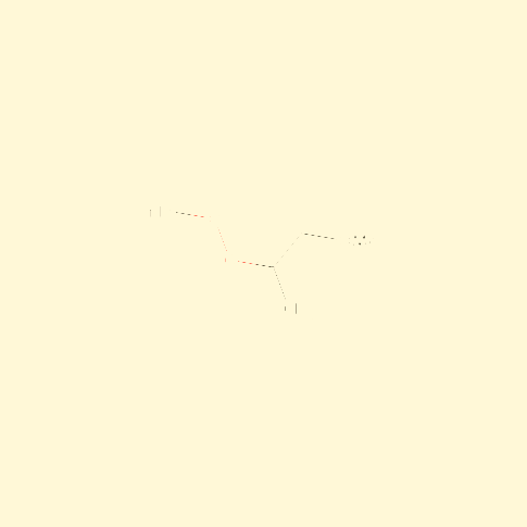 CCCOOC(C)COC